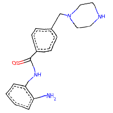 Nc1ccccc1NC(=O)c1ccc(CN2CCNCC2)cc1